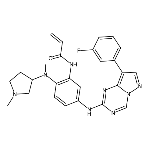 C=CC(=O)Nc1cc(Nc2ncn3ncc(-c4cccc(F)c4)c3n2)ccc1N(C)C1CCN(C)C1